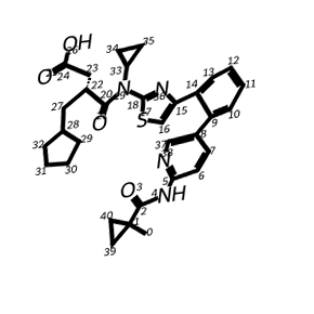 CC1(C(=O)Nc2ccc(-c3ccccc3-c3csc(N(C(=O)[C@@H](CC(=O)O)CC4CCCC4)C4CC4)n3)cn2)CC1